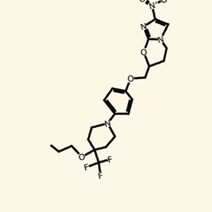 CCCOC1(C(F)(F)F)CCN(c2ccc(OCC3CCn4cc([N+](=O)[O-])nc4O3)cc2)CC1